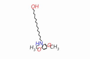 COc1ccc(OC)c(NCCCCCCCCCCCCCCCCO)c1